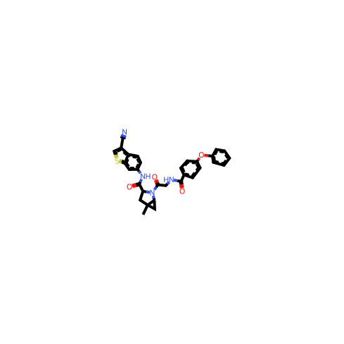 CC12CC(C(=O)Nc3ccc4c(C#N)csc4c3)N(C(=O)CNC(=O)c3ccc(Oc4ccccc4)cc3)C1C2